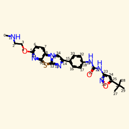 CNCCOc1ccc2c(n1)sc1nc(-c3ccc(NC(=O)Nc4cc(C(C)(C)C)on4)cc3)cn12